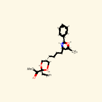 COC(=O)[C@]1(CC(C)C)OC[C@H](CCCCc2nc(-c3ccccc3)oc2C)CO1